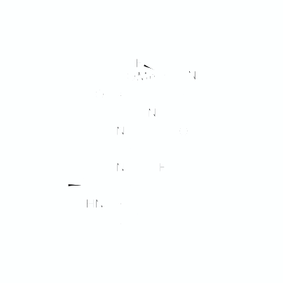 COC(=O)c1nc(O[C@@H](C)[C@@H]2C[C@@H](F)CN2C)c(F)c(N2C[C@H](C)NC3(CC3)C2)n1